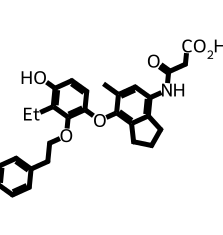 CCc1c(O)ccc(Oc2c(C)cc(NC(=O)CC(=O)O)c3c2CCC3)c1OCCc1ccccc1